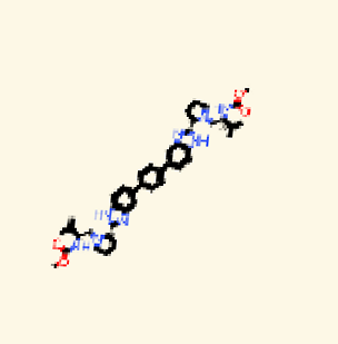 COC(=O)N[C@H](CN1CCC[C@H]1c1nc2cc(-c3ccc(-c4ccc5[nH]c([C@@H]6CCCN6C[C@@H](NC(=O)OC)C(C)C)nc5c4)cc3)ccc2[nH]1)C(C)C